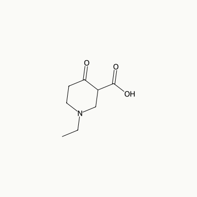 CCN1CCC(=O)C(C(=O)O)C1